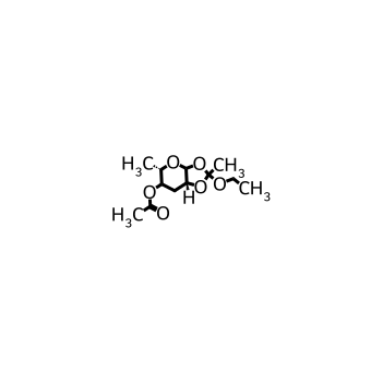 CCOC1(C)OC2O[C@@H](C)C(OC(C)=O)C[C@H]2O1